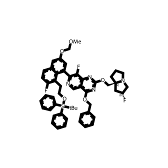 COCOc1cc(-c2ncc3c(OCc4ccccc4)nc(OC[C@@]45CCCN4C[C@H](F)C5)nc3c2F)c2c(CCO[Si](c3ccccc3)(c3ccccc3)C(C)(C)C)c(F)ccc2c1